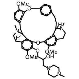 COc1ccc2cc1Oc1ccc(cc1)CC[C@H]1c3cc(c(OC)cc3CCN1C)Oc1c(OCC(O)CN3CCN(C)CC3)c(OC)cc3c1[C@H](C2)N(C)CC3